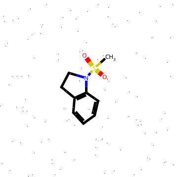 CS(=O)(=O)N1CCc2ccc[c]c21